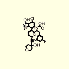 Cn1nc(O)c2c(Cl)ccc(-c3ccc(C#CC4(O)CCOCC4)nc3C(Cc3cc(F)cc(F)c3)NC(=O)O)c21